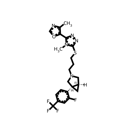 Cc1ncoc1-c1nnc(SCCCN2C[C@H]3C[C@@]3(c3ccc(C(F)(F)F)cc3F)C2)n1C